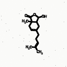 CC(C)=CCCC1=CCC2(C)C(=O)OC(O)C2C1